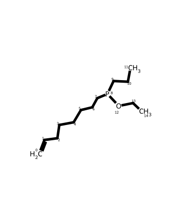 C=CCCCCCCP(CCC)OCC